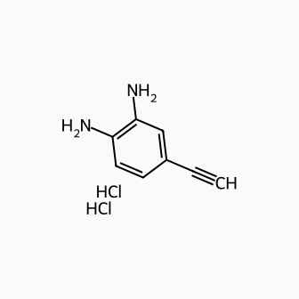 C#Cc1ccc(N)c(N)c1.Cl.Cl